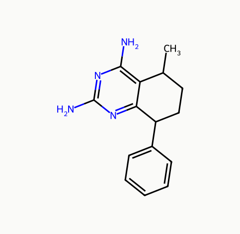 CC1CCC(c2ccccc2)c2nc(N)nc(N)c21